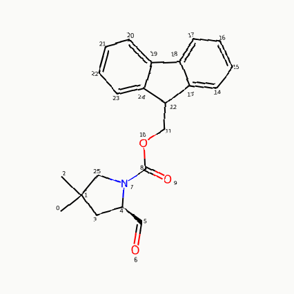 CC1(C)C[C@H](C=O)N(C(=O)OCC2c3ccccc3-c3ccccc32)C1